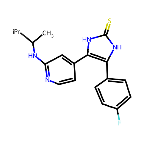 CC(C)C(C)Nc1cc(-c2[nH]c(=S)[nH]c2-c2ccc(F)cc2)ccn1